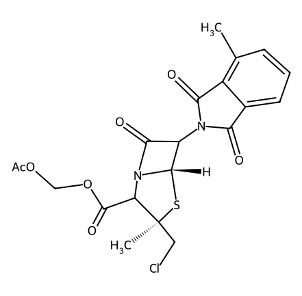 CC(=O)OCOC(=O)C1N2C(=O)C(N3C(=O)c4cccc(C)c4C3=O)[C@@H]2S[C@@]1(C)CCl